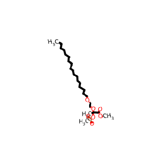 CCCCCCCCCCCCCCCCCCOCCOC(C)(OS(C)(=O)=O)C(=O)OC